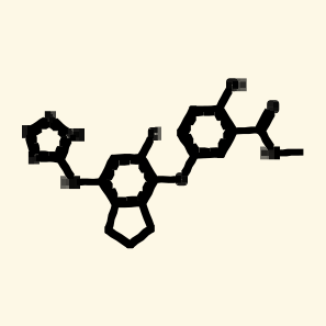 CNC(=O)c1cc(Oc2c(Cl)cc(Nc3nnn[nH]3)c3c2CCC3)ccc1O